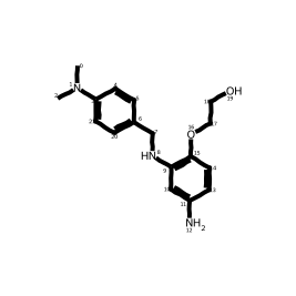 CN(C)c1ccc(CNc2cc(N)ccc2OCCO)cc1